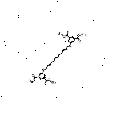 CC(C)(C)OC(=O)c1cc(OCC=CCCC=CCCC=CCOc2cc(C(=O)OC(C)(C)C)cc(C(=O)OC(C)(C)C)c2)cc(C(=O)OC(C)(C)C)c1